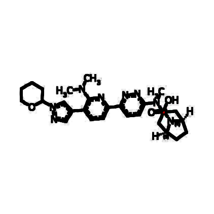 CN(C)c1nc(-c2ccc(N(C)[C@H]3C[C@H]4CC[C@@H](C3)N4C(=O)O)nn2)ccc1-c1cnn(C2CCCCO2)c1